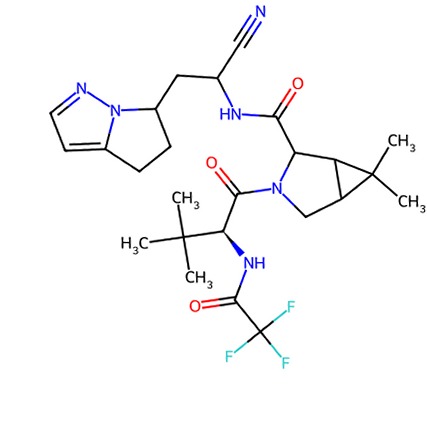 CC1(C)C2CN(C(=O)[C@@H](NC(=O)C(F)(F)F)C(C)(C)C)C(C(=O)NC(C#N)CC3CCc4ccnn43)C21